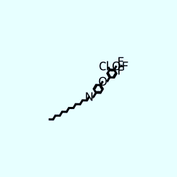 CCCCCCCCCCCCN=Cc1ccc(OCc2ccc(OC(F)(F)F)c(Cl)c2)cc1